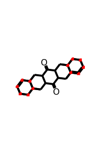 O=C1C2C(C(=O)C3C1C1C4C=CCCC4C3C3CCCCC31)C1C3=CCCCC3C2C2CCC=CC21